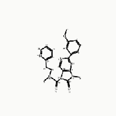 COc1cccc(-c2ncc3c(n2)n(C)c(=O)n3C(=O)N(C)CCc2ccccn2)c1